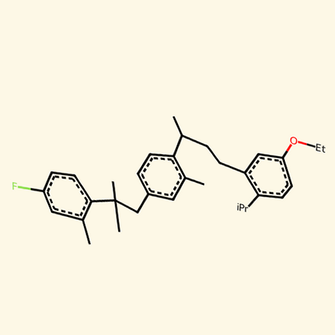 CCOc1ccc(C(C)C)c(CCC(C)c2ccc(CC(C)(C)c3ccc(F)cc3C)cc2C)c1